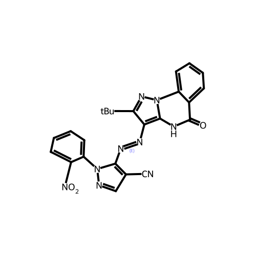 CC(C)(C)c1nn2c([nH]c(=O)c3ccccc32)c1/N=N/c1c(C#N)cnn1-c1ccccc1[N+](=O)[O-]